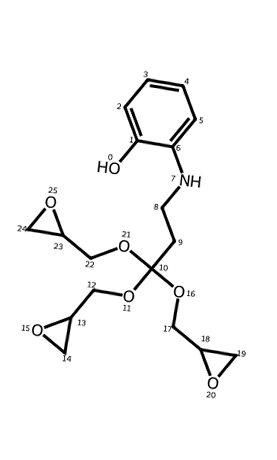 Oc1ccccc1NCCC(OCC1CO1)(OCC1CO1)OCC1CO1